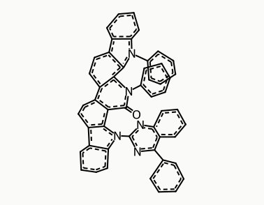 O=c1c2c(ccc3c4ccccc4n(-c4nc(-c5ccccc5)c5ccccc5n4)c32)c2ccc3c4ccccc4n(-c4ccccc4)c3c2n1-c1ccccc1